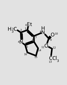 CCc1c(C)nc2c(c1NC(=O)OCC(Cl)(Cl)Cl)CCC2